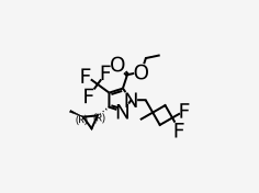 CCOC(=O)c1c(C(F)(F)F)c([C@@H]2C[C@H]2C)nn1CC1(C)CC(F)(F)C1